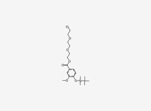 COc1cc(C(=O)OCCOCCOCCCl)ccc1O[Si](C)(C)C(C)(C)C